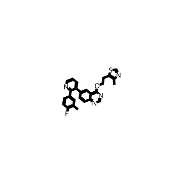 Cc1cc(-c2ncccc2-c2ccc3ncnc(OCCc4scnc4C)c3c2)ccc1F